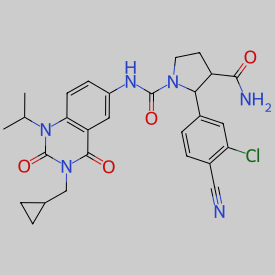 CC(C)n1c(=O)n(CC2CC2)c(=O)c2cc(NC(=O)N3CCC(C(N)=O)C3c3ccc(C#N)c(Cl)c3)ccc21